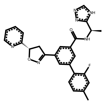 Cc1ccc(-c2cc(C(=O)N[C@H](C)c3nnc[nH]3)cc(C3=NO[C@H](c4ccccn4)C3)c2)c(F)c1